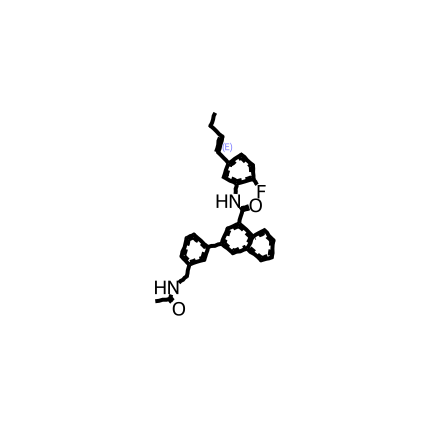 CC/C=C/c1ccc(F)c(NC(=O)c2cc(-c3cccc(CNC(C)=O)c3)cc3ccccc23)c1